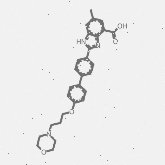 Cc1cc(C(=O)O)c2nc(-c3ccc(-c4ccc(OCCCN5CCOCC5)cc4)cc3)[nH]c2c1